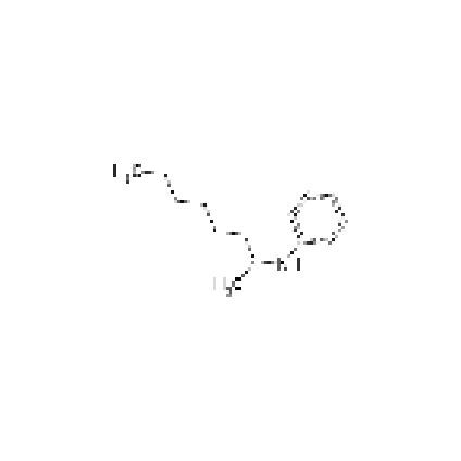 CCCCCCC(C)Nc1ccccc1